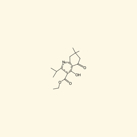 CCOC(=O)c1c(C(C)C)nc2c(c1O)C(=O)CC(C)(C)C2